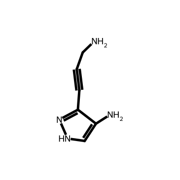 NCC#Cc1n[nH]cc1N